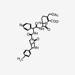 CC(=O)OCC1=C(C(=O)[O-])N2C(=O)C(NC(=O)C(NC(=O)N3CC4C(c5ccc(C)cc5)NN4C3=O)c3ccccc3)[C@@H]2SC1.[Na+]